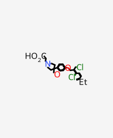 C=C(/C=C\C(Cl)=C(/CCl)COc1ccc2c(c1)OCC21CCN(CCC(=O)O)CC1)CC